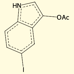 CC(=O)Oc1c[nH]c2ccc(I)cc12